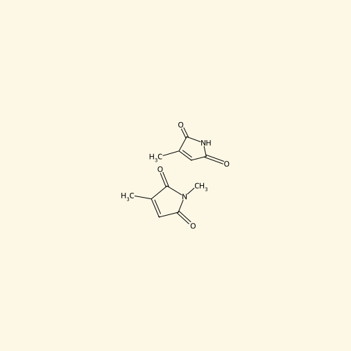 CC1=CC(=O)N(C)C1=O.CC1=CC(=O)NC1=O